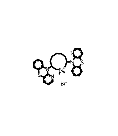 C[N+]1(C)CC(N2c3ccccc3Sc3cccnc32)CCCCCC(N2c3ccccc3Sc3cccnc32)C1.[Br-]